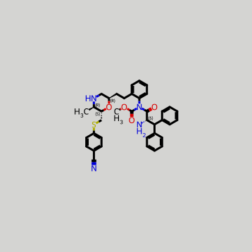 COC(=O)N(C(=O)[C@@H](N)C(c1ccccc1)c1ccccc1)c1ccccc1CC[C@@H]1CN[C@H](C)[C@@H](CSc2ccc(C#N)cc2)O1